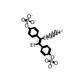 CC/C(=C(/CC)c1ccc(OP(=O)([O-])[O-])cc1)c1ccc(OP(=O)([O-])[O-])cc1.[Na+].[Na+].[Na+].[Na+]